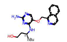 CCCC[C@@H](CCO)Nc1nc(N)ncc1OCc1nccc2ccccc12